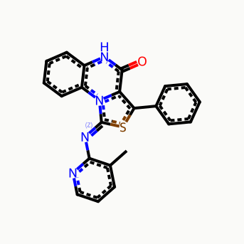 Cc1cccnc1/N=c1\sc(-c2ccccc2)c2c(=O)[nH]c3ccccc3n12